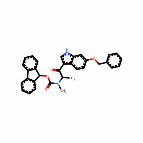 CC(C(=O)c1c[nH]c2cc(OCc3ccccc3)ccc12)N(C)C(=O)OC1c2ccccc2-c2ccccc21